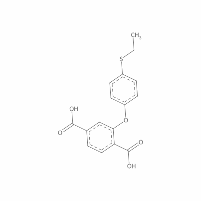 CCSc1ccc(Oc2cc(C(=O)O)ccc2C(=O)O)cc1